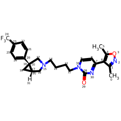 Cc1noc(C)c1-c1ccn(CCCCN2C[C@@H]3C[C@]3(c3ccc(C(F)(F)F)cc3)C2)c(=O)n1